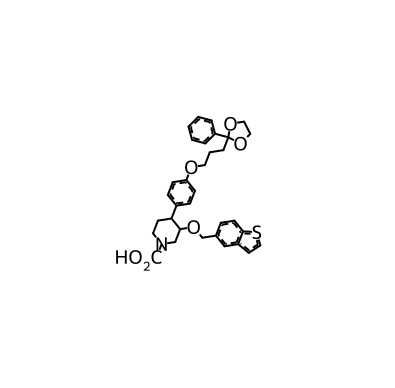 O=C(O)N1CCC(c2ccc(OCCCC3(c4ccccc4)OCCO3)cc2)C(OCc2ccc3sccc3c2)C1